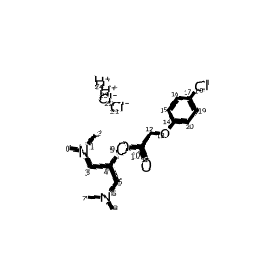 CN(C)CC(CN(C)C)OC(=O)COc1ccc(Cl)cc1.[Cl-].[Cl-].[H+].[H+]